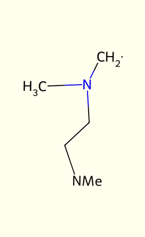 [CH2]N(C)CCNC